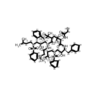 CNCC(=O)NN(C(=O)C(CC(C)(C)[C@H](NC(=O)CBr)C(=O)N[C@@H](Cc1ccccc1)[C@H](O)CN(CCC(C)C)S(=O)(=O)c1ccccc1)C(C)(C)C)[C@@H](Cc1ccccc1)[C@H](O)CN(CCC(C)C)S(=O)(=O)c1ccccc1